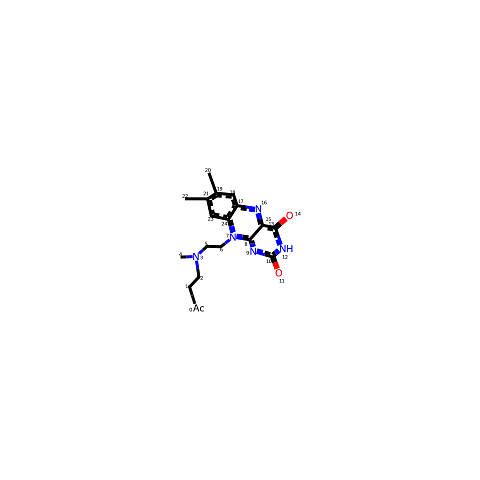 CC(=O)CCN(C)CCn1c2nc(=O)[nH]c(=O)c-2nc2cc(C)c(C)cc21